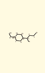 CCCC(C)C1CCN(CC)CC1